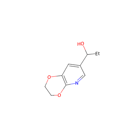 CCC(O)c1cnc2c(c1)OCCO2